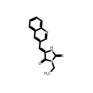 CCN1C(=O)/C(=C/c2cnc3ccccc3c2)NC1=S